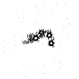 Cc1cnc(Nc2ccc(Oc3ccccc3)cc2)nc1Nc1ccc(S(=O)(=O)NC(C)(C)C)cc1